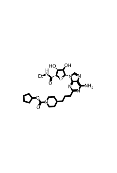 CCNC(=O)[C@H]1O[C@@H](n2cnc3c(N)nc(CCCC4CCN(C(=O)OC5CCCC5)CC4)nc32)C(O)[C@H]1O